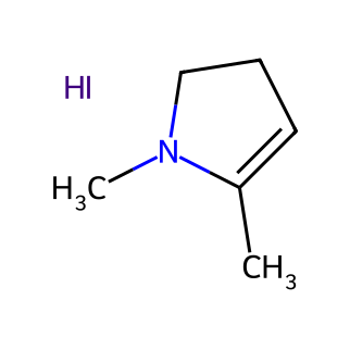 CC1=CCCN1C.I